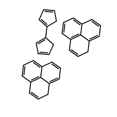 C1=CCC(C2=CC=CC2)=C1.C1=Cc2cccc3cccc(c23)C1.C1=Cc2cccc3cccc(c23)C1